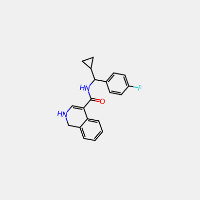 O=C(NC(c1ccc(F)cc1)C1CC1)C1=CNCc2ccccc21